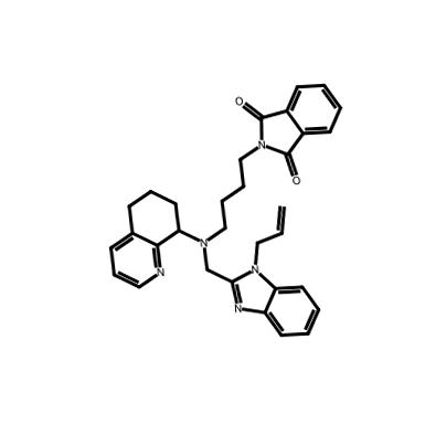 C=CCn1c(CN(CCCCN2C(=O)c3ccccc3C2=O)C2CCCc3cccnc32)nc2ccccc21